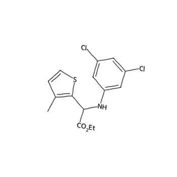 CCOC(=O)C(Nc1cc(Cl)cc(Cl)c1)c1sccc1C